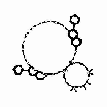 CC1O[Si](C)(C)CCCO[C@@H]2CCOc3ccc4cc(-c5ccccc5)c(cc4c3)OCCOCCOCCOCCOCCOc3cc4cc(ccc4cc3-c3ccccc3)OCC[C@H]2OCCC[Si](C)(C)OC1C